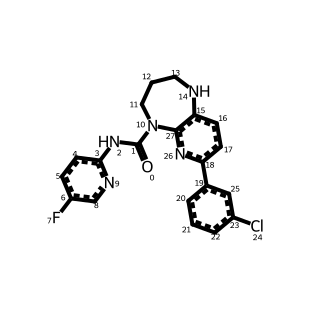 O=C(Nc1ccc(F)cn1)N1CCCNc2ccc(-c3cccc(Cl)c3)nc21